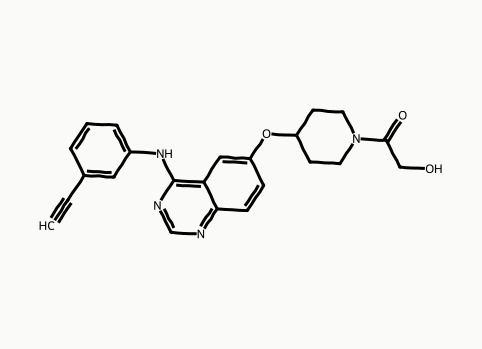 C#Cc1cccc(Nc2ncnc3ccc(OC4CCN(C(=O)CO)CC4)cc23)c1